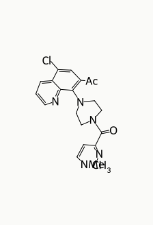 C/N=C(\C=C/NC)C(=O)N1CCN(c2c(C(C)=O)cc(Cl)c3cccnc23)CC1